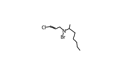 CCCCCC(C)N(Br)CC=CCl